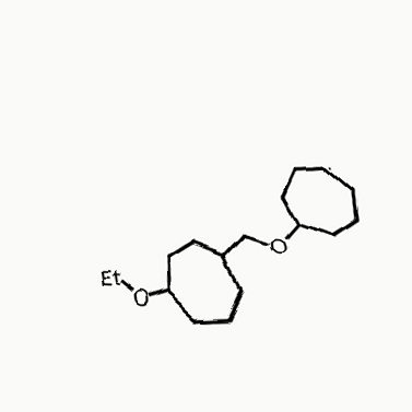 [CH2]COC1CCCC(COC2CC[CH]CCC2)CC1